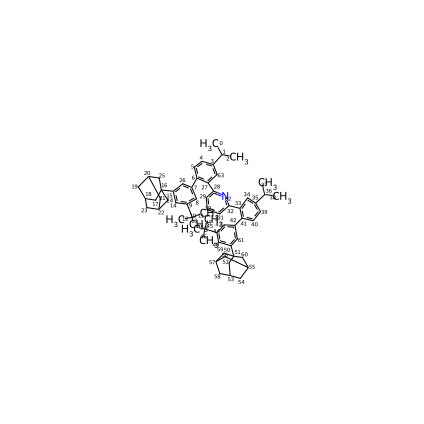 CC(C)c1ccc(-c2cc(C(C)(C)C)cc(C34CC5CC(CC(C5)C3)C4)c2)c(-c2cccc(-c3cc(C(C)C)ccc3-c3cc(C(C)(C)C)cc(C45CC6CC(CC(C6)C4)C5)c3)n2)c1